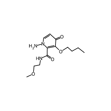 CCCCOc1c(C(=O)NCCOC)n(N)ccc1=O